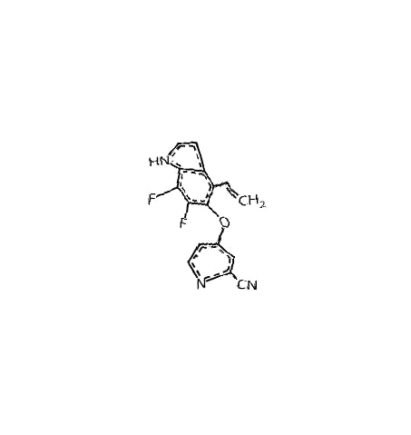 C=Cc1c(Oc2ccnc(C#N)c2)c(F)c(F)c2[nH]ccc12